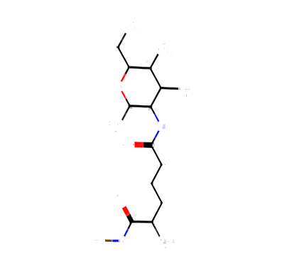 CC(=O)NC(CCCC(=O)NC1C(OC(C)=O)OC(COC(C)=O)C(C)C1C)C(=O)NS